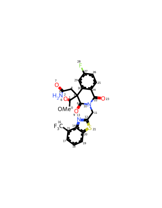 COC(=O)C1(CC(N)=O)C(=O)N(Cc2nc3c(C(F)(F)F)cccc3s2)C(=O)c2ccc(F)cc21